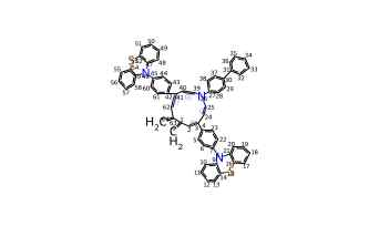 C=C1/C=C(c2ccc(N3c4ccccc4Sc4ccccc43)cc2)\C=C/N(c2ccc(-c3ccccc3)cc2)/C=C\C(c2ccc(N3c4ccccc4Sc4ccccc43)cc2)=C/C1=C